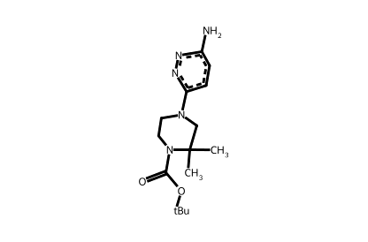 CC(C)(C)OC(=O)N1CCN(c2ccc(N)nn2)CC1(C)C